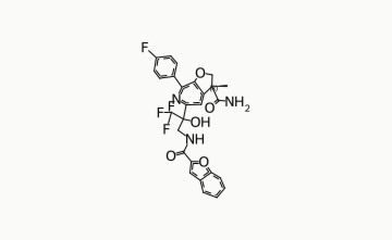 C[C@]1(C(N)=O)COc2c1cc(C(O)(CNC(=O)c1cc3ccccc3o1)C(F)(F)F)nc2-c1ccc(F)cc1